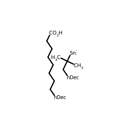 CCCCCCCCCCCCCCCCCC(=O)O.CCCCCCCCCCC[C](C)(C)[Sn]